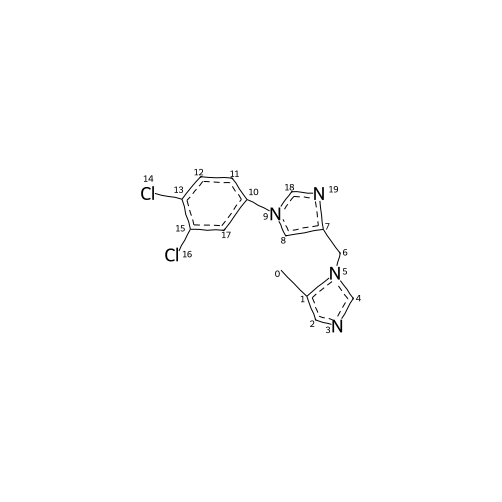 Cc1cncn1Cc1cn(-c2ccc(Cl)c(Cl)c2)cn1